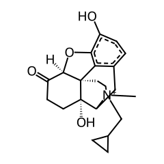 C[N+]1(CC2CC2)CC[C@@]23c4c5ccc(O)c4O[C@@H]2C(=O)CC[C@]3(O)C1C5